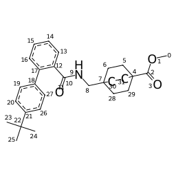 COC(=O)C12CCC(CNC(=O)c3ccccc3-c3ccc(C(C)(C)C)cc3)(CC1)CC2